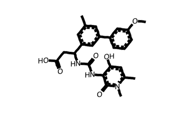 COc1cccc(-c2cc(C)cc(C(CC(=O)O)NC(=O)Nc3c(O)cc(C)n(C)c3=O)c2)c1